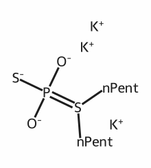 CCCCCS(CCCCC)=P([O-])([O-])[S-].[K+].[K+].[K+]